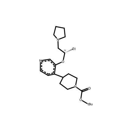 CC[C@@H](CN1CCCC1)Oc1cnccc1C1CCN(C(=O)OC(C)(C)C)CC1